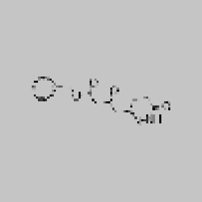 O=C(CC(=O)OCc1ccccc1)CC1=NNC(=O)CC1